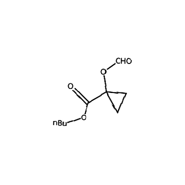 CCCCOC(=O)C1(OC=O)CC1